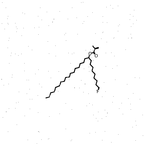 C=C(C)C(=O)OC(CCCCCCCCCF)CCCCCCCCCCCCCCCCC